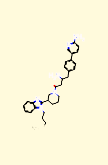 COCCCn1c(C2CCCN(C(=O)CC(N)Cc3ccc(-c4ccc(N)nc4)cc3)C2)nc2ccccc21